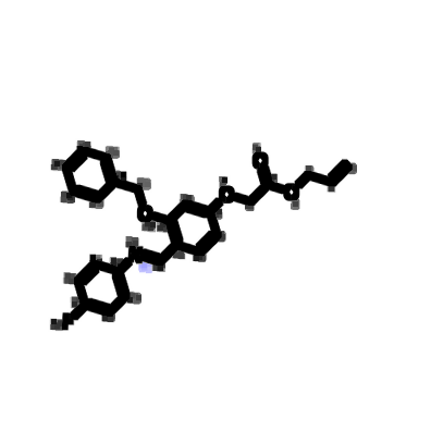 C=CCOC(=O)COc1ccc(/C=N/c2ccc(F)cc2)c(OCc2ccccc2)c1